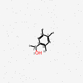 CB(O)c1cc(C)c(C)cc1C